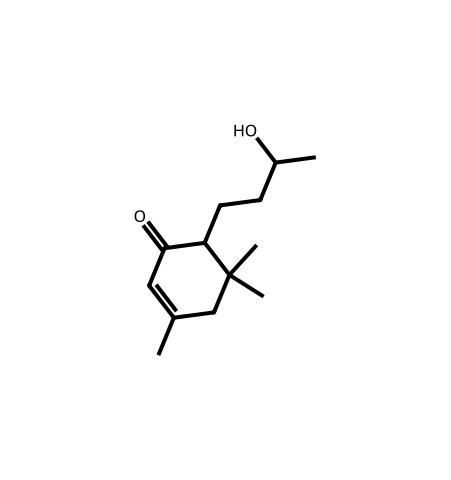 CC1=CC(=O)C(CCC(C)O)C(C)(C)C1